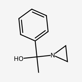 CC(O)(c1ccccc1)N1CC1